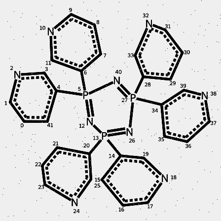 c1cncc(P2(c3cccnc3)=NP(c3cccnc3)(c3cccnc3)=NP(c3cccnc3)(c3cccnc3)=N2)c1